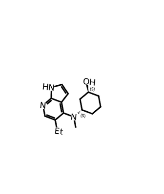 CCc1cnc2[nH]ccc2c1N(C)[C@H]1CCC[C@H](O)C1